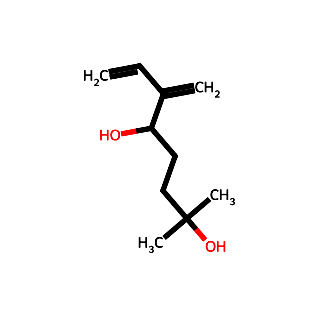 C=CC(=C)C(O)CCC(C)(C)O